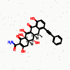 C[C@H]1c2c(C#Cc3ccccc3)ccc(O)c2C(=O)C2=C(O)[C@]3(O)C(=O)C(C(N)=O)=C(O)C[C@@H]3[C@@H](O)[C@@H]21